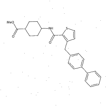 COC(=O)C1CCC(NC(=O)c2sccc2Cc2ccc(-c3ccccc3)cc2)CC1